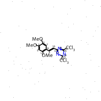 COc1cc(OC)c(OC)cc1/C=C/c1nc(C(Cl)(Cl)Cl)nc(C(Cl)(Cl)Cl)n1